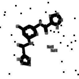 O=C(Nc1cc(Cl)cc(NC(=O)c2nnn[nH]2)n1)c1nnn[nH]1.[NaH].[NaH]